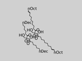 CCCCCCCCC=CCCCCCCCC(=O)C(O)C(O)(CO)C(=O)CCCCCCCC=CCCCCCCCC.CCCCCCCCCCCCCCCC(=O)C(O)C(O)(CO)C(=O)CCCCCCCCCCCCCCC